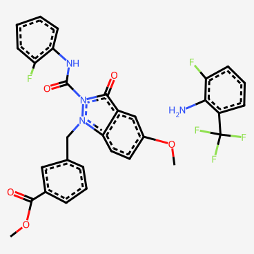 COC(=O)c1cccc(Cn2c3ccc(OC)cc3c(=O)n2C(=O)Nc2ccccc2F)c1.Nc1c(F)cccc1C(F)(F)F